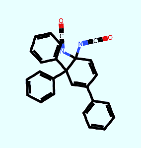 O=C=NC1(N=C=O)C=CC(c2ccccc2)=CC1(c1ccccc1)c1ccccc1